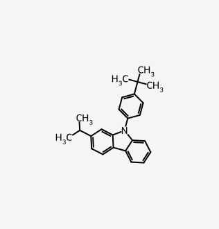 CC(C)c1ccc2c3ccccc3n(-c3ccc(C(C)(C)C)cc3)c2c1